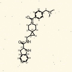 CN(C)Cc1ccc(C(=O)N2CCC3(CC2)CC3CNC(=O)C2Cc3cnccc3N2)cc1